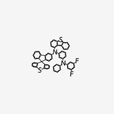 Fc1cc(F)cc(N(c2ccccc2)c2cccc(N(c3ccc4c(c3)-c3ccccc3C43c4ccccc4Sc4ccccc43)c3cccc4sc5ccccc5c34)c2)c1